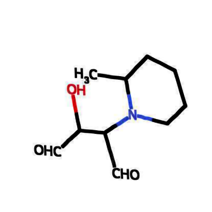 CC1CCCCN1C(C=O)C(O)C=O